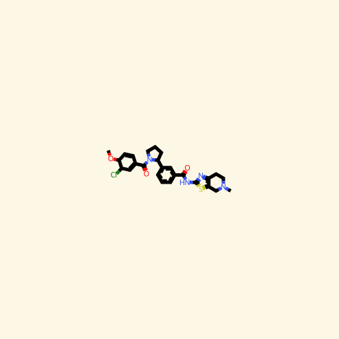 COC1C=CC(C(=O)N2CCCC2c2cccc(C(=O)Nc3nc4c(s3)CN(C)CC4)c2)=CC1Cl